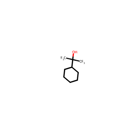 OC([C]1CCCCC1)(C(F)(F)F)C(F)(F)F